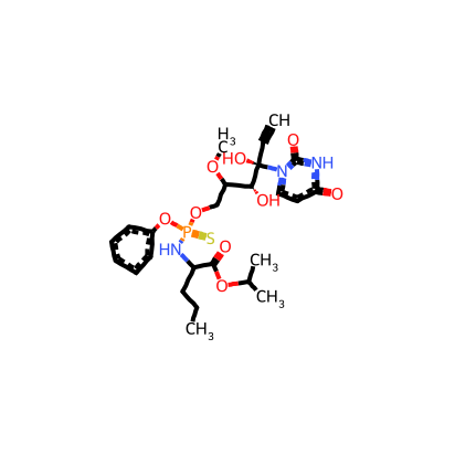 C#C[C@@](O)([C@H](O)C(COP(=S)(NC(CCC)C(=O)OC(C)C)Oc1ccccc1)OC)n1ccc(=O)[nH]c1=O